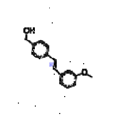 COc1cccc(/C=C/c2ccc(CO)cc2)c1